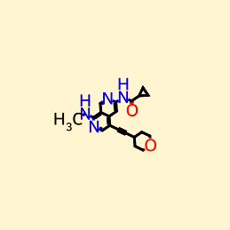 CNc1ncc(C#CC2CCOCC2)c2cc(NC(=O)C3CC3)ncc12